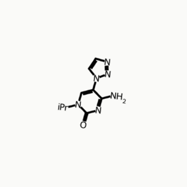 CC(C)n1cc(-n2ccnn2)c(N)nc1=O